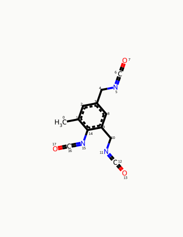 Cc1cc(CN=C=O)cc(CN=C=O)c1N=C=O